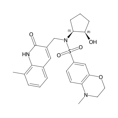 Cc1cccc2cc(CN([C@H]3CCC[C@H]3O)S(=O)(=O)c3ccc4c(c3)OCCN4C)c(=O)[nH]c12